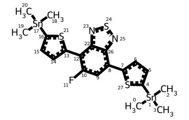 [CH3][Sn]([CH3])([CH3])[c]1ccc(-c2cc(F)c(-c3cc[c]([Sn]([CH3])([CH3])[CH3])s3)c3nsnc23)s1